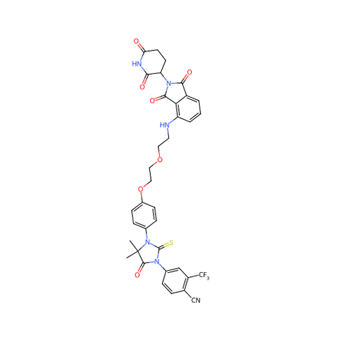 CC1(C)C(=O)N(c2ccc(C#N)c(C(F)(F)F)c2)C(=S)N1c1ccc(OCCOCCNc2cccc3c2C(=O)N(C2CCC(=O)NC2=O)C3=O)cc1